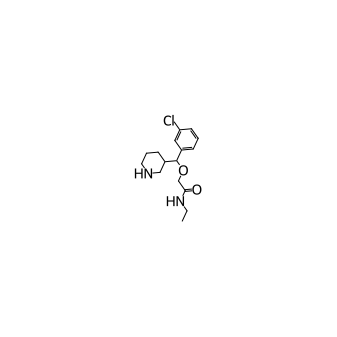 CCNC(=O)COC(c1cccc(Cl)c1)C1CCCNC1